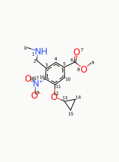 CNCc1cc(C(=O)OC)cc(OC2CC2)c1[N+](=O)[O-]